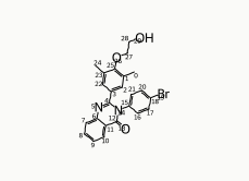 Cc1cc(-c2nc3ccccc3c(=O)n2-c2ccc(Br)cc2)cc(C)c1OCCO